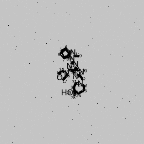 Cc1nc2ccccc2n1-c1nc(N2CCOCC2)c2nc(CN3CCCC(C)(O)CC3)n(C)c2n1